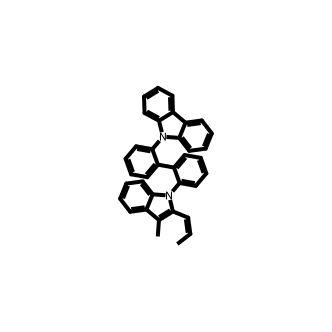 C/C=C\c1c(C)c2ccccc2n1-c1ccccc1-c1ccccc1-n1c2ccccc2c2ccccc21